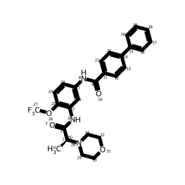 C[C@@H](C(=O)Nc1cc(NC(=O)c2ccc(-c3ccccc3)cc2)ccc1OC(F)(F)F)N1CCOCC1